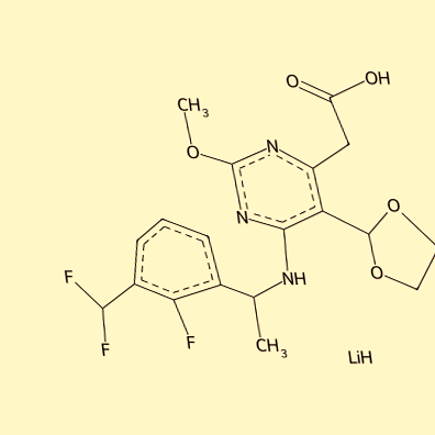 COc1nc(CC(=O)O)c(C2OCCO2)c(NC(C)c2cccc(C(F)F)c2F)n1.[LiH]